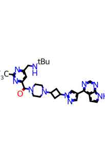 CC(C)(C)NCc1cc(C(=O)N2CCN(C3CC(n4cc(-c5ncnc6[nH]ccc56)cn4)C3)CC2)nc(C(F)(F)F)n1